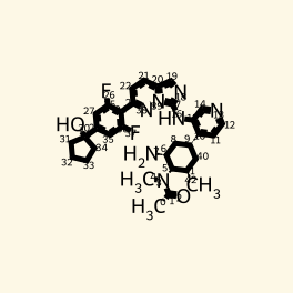 CC(=O)N(C)[C@@H]1[C@H](N)C[C@H](c2ccncc2Nc2ncc3ccc(-c4c(F)cc(C5(O)CCCC5)cc4F)nn23)C[C@@H]1C